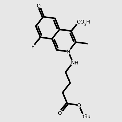 Cc1c(C(=O)O)c2cc(=O)cc(F)c-2cn1NCCCC(=O)OC(C)(C)C